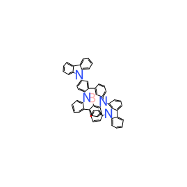 c1ccc(-n2c3ccccc3c3cccc(N4c5cccc6c5B5c7c(cccc74)-c4cc(-n7c8ccccc8c8ccccc87)ccc4N5c4ccccc4-6)c32)cc1